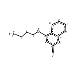 NCCCOc1cc(=O)oc2ccccc12